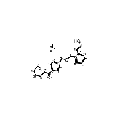 O=C(c1cc[n+](COC[n+]2ccccc2C=NO)cc1)C1CCCCC1.[I-].[I-]